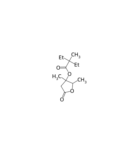 CCC(C)(CC)C(=O)OC1(C)CC(=O)OC1C